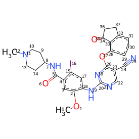 COc1cc(C(=O)NC2CCN(C)CC2)c(I)cc1Nc1ncc(C#N)c(Oc2cccc3c2C(=O)CC3)n1